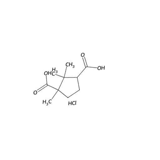 CC1(C(=O)O)CCC(C(=O)O)C1(C)C.Cl